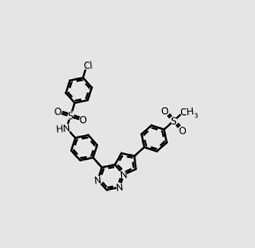 CS(=O)(=O)c1ccc(-c2cc3c(-c4ccc(NS(=O)(=O)c5ccc(Cl)cc5)cc4)ncnn3c2)cc1